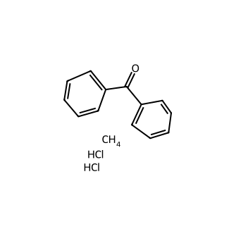 C.Cl.Cl.O=C(c1ccccc1)c1ccccc1